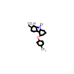 CCn1c2cc(CC(=O)O)ccc2c2c(Oc3ccc(C(F)(F)F)cc3)cccc21